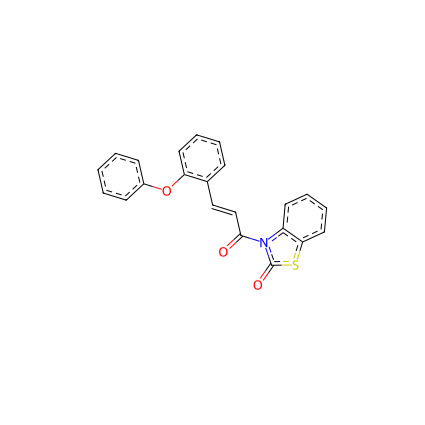 O=C(C=Cc1ccccc1Oc1ccccc1)n1c(=O)sc2ccccc21